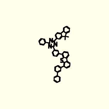 CC1(C)c2ccccc2-c2ccc(-c3nc(-c4ccccc4)nc(-c4cccc(-c5cccc6c5sc5c(-c7cccc(-c8ccccc8)c7)cccc56)c4)n3)cc21